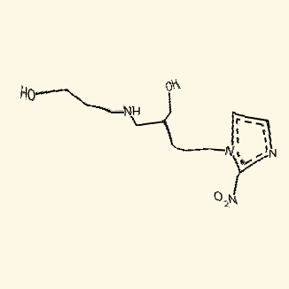 O=[N+]([O-])c1nccn1CC(O)CNCCO